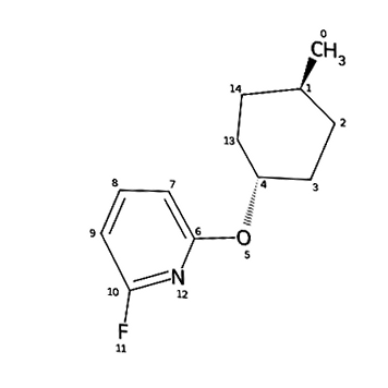 C[C@H]1CC[C@H](Oc2cccc(F)n2)CC1